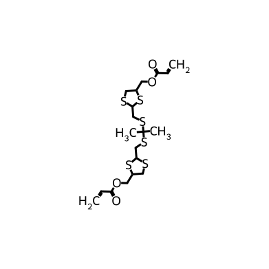 C=CC(=O)OCC1CSC(CSC(C)(C)SCC2SCC(COC(=O)C=C)S2)S1